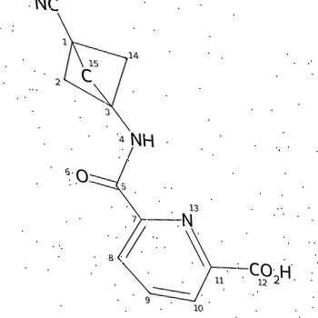 N#CC12CC(NC(=O)c3cccc(C(=O)O)n3)(C1)C2